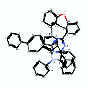 c1ccc(-c2ccc(-c3nc(-c4ccccc4)nc(-c4cccc5oc6cccc(-c7ccc8c(c7)c7ccccc7n8-c7ccccc7)c6c45)n3)cc2)cc1